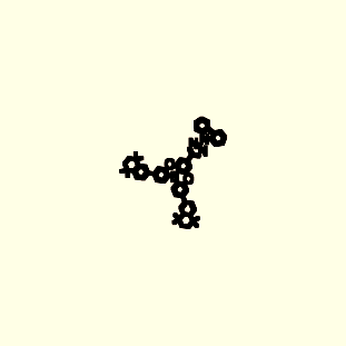 CC1(C)CCC(C)(C)c2cc(-c3ccc4c(c3)Oc3cc(-c5cnc(-n6c7ccccc7c7ccccc76)nc5)cc5c3B4c3ccc(C4=CC6C(C=C4)C(C)(C)CCC6(C)C)cc3O5)ccc21